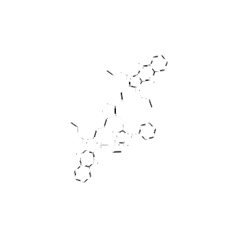 C=CCN1C(=CC=C2CCC(C=Cc3n(CC=C)c4nc5ccccc5nc4[n+]3CC=C)=C2Sc2nnnn2-c2ccccc2)N(CC=C)c2nc3ccccc3nc21